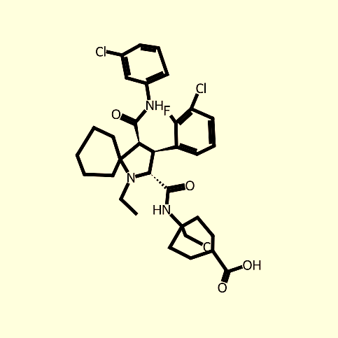 CCN1[C@@H](C(=O)NC23CCC(C(=O)O)(CC2)CC3)[C@H](c2cccc(Cl)c2F)[C@H](C(=O)Nc2cccc(Cl)c2)C12CCCCC2